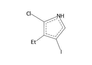 CCc1c(I)c[nH]c1Cl